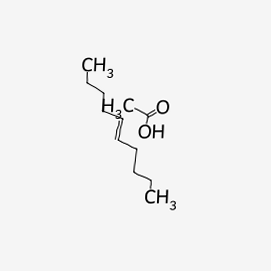 CC(=O)O.CCCC/C=C/CCCC